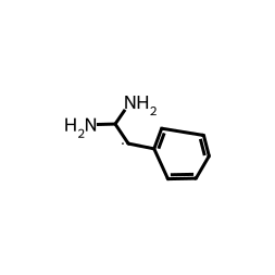 NC(N)[CH]c1ccccc1